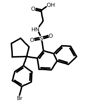 O=C(O)CNS(=O)(=O)c1c(C2(c3ccc(Br)cc3)CCCC2)ccc2ccccc12